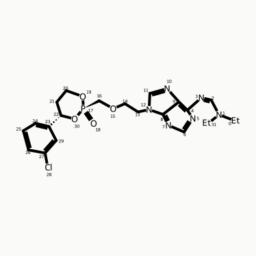 CCN(/C=N\c1ncnc2c1ncn2CCOC[P@]1(=O)OCC[C@@H](c2cccc(Cl)c2)O1)CC